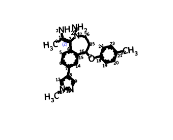 C/C(N)=C1\c2ccc(-c3cnn(C)c3)cc2C(Oc2ccc(C)cc2)CCN1N